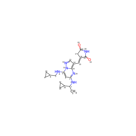 CC(Nc1cc(NCC2CC2)n2ncc(/C=C3\CC(=O)NC3=O)c2n1)C1CC1